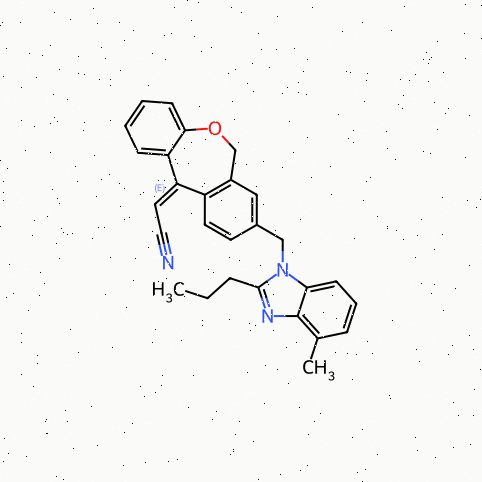 CCCc1nc2c(C)cccc2n1Cc1ccc2c(c1)COc1ccccc1/C2=C/C#N